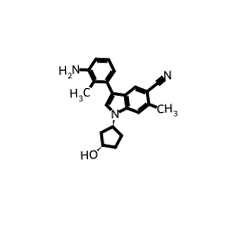 Cc1cc2c(cc1C#N)c(-c1cccc(N)c1C)cn2[C@@H]1CC[C@H](O)C1